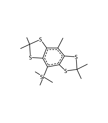 Cc1c2c(c([Si](C)(C)C)c3c1SC(C)(C)S3)SC(C)(C)S2